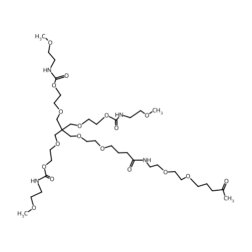 COCCNC(=O)OCCOCC(COCCOCCCC(=O)NCCOCCOCCCC(C)=O)(COCCOC(=O)NCCOC)COCCOC(=O)NCCOC